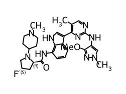 COc1nn(C)cc1Nc1ncc(C)c(-c2c[nH]c3c(NC(=O)[C@H]4C[C@H](F)CN4C4CCN(C)CC4)cccc23)n1